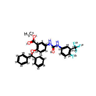 COC(=O)c1cc(NC(=O)Nc2ccc(F)c(C(F)(F)F)c2)ccc1OC(c1ccccc1)c1ccccc1